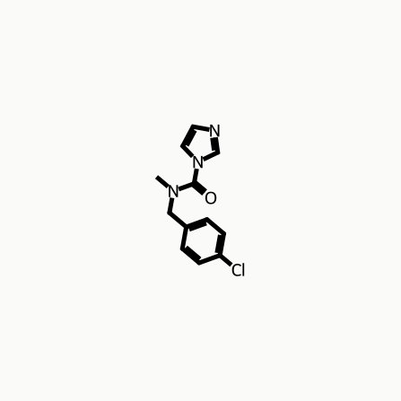 CN(Cc1ccc(Cl)cc1)C(=O)n1ccnc1